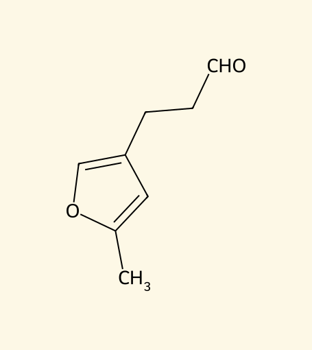 Cc1cc(CCC=O)co1